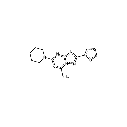 Nc1nc(N2CCCCC2)nc2nc(-c3ccco3)nn12